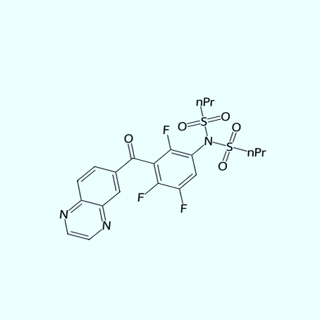 CCCS(=O)(=O)N(c1cc(F)c(F)c(C(=O)c2ccc3nccnc3c2)c1F)S(=O)(=O)CCC